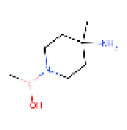 CB(O)N1CCC(C)(N)CC1